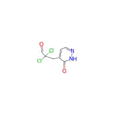 O=[C]C(Cl)(Cl)Cc1ccn[nH]c1=O